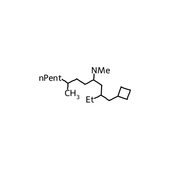 CCCCCC(C)CCC(CC(CC)CC1CCC1)NC